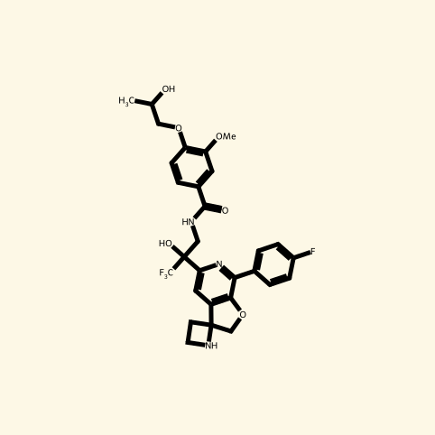 COc1cc(C(=O)NCC(O)(c2cc3c(c(-c4ccc(F)cc4)n2)OCC32CCN2)C(F)(F)F)ccc1OCC(C)O